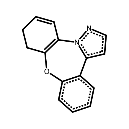 C1=CC2=C(CC1)Oc1ccccc1-c1ccnn12